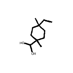 CCC1(C)CCC(C)(C(O)O)CC1